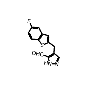 O=Cc1[nH]ncc1Cc1cc2cc(F)ccc2s1